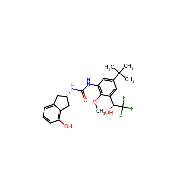 COc1c(NC(=O)N[C@H]2Cc3cccc(O)c3C2)cc(C(C)(C)C)cc1[C@@H](O)C(F)(F)F